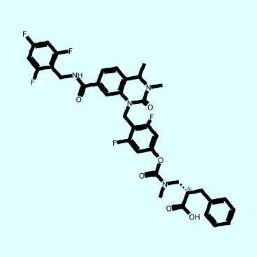 CC1c2ccc(C(=O)NCc3c(F)cc(F)cc3F)cc2N(Cc2c(F)cc(OC(=O)N(C)C[C@H](Cc3ccccc3)C(=O)O)cc2F)C(=O)N1C